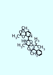 COc1ccnc(C(=O)N[C@@H](C)C(=O)O[C@@H](C)[C@H](SC(C)C)c2ccccc2)c1OC(C)=O